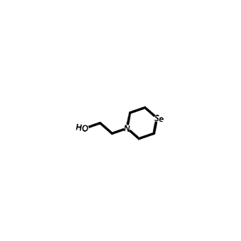 OCCN1CC[Se]CC1